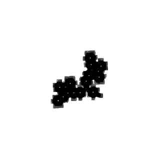 Cc1ccc(N(c2ccc3cc4c(cc3c2)C2(c3ccccc3-c3ccccc32)c2cc3ccccc3cc2-4)c2ccc3cc4c(cc3c2)C2(c3ccccc3-c3ccccc32)c2cc3ccccc3cc2-4)cc1